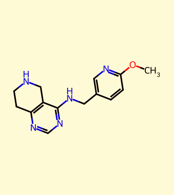 COc1ccc(CNc2ncnc3c2CNCC3)cn1